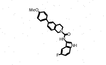 COc1ccc(-c2ccc3c(c2)CCN(C(=O)Nc2c[nH]c4ccc(F)cc24)C3)cc1